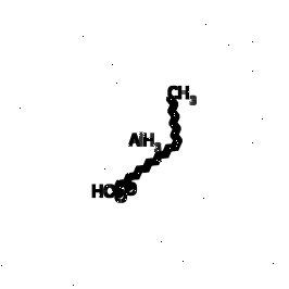 CCCCCCCC/C=C\CCCCCCCCCC(=O)CC(=O)O.[AlH3]